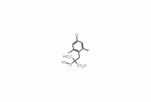 O=C(O)C(Cc1c(F)cc(Cl)cc1F)(OS)C(=O)O